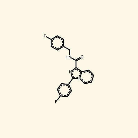 O=C(NCc1ccc(F)cc1)c1nc(-c2ccc(F)cc2)n2ccccc12